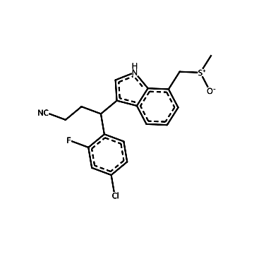 C[S+]([O-])Cc1cccc2c(C(CCC#N)c3ccc(Cl)cc3F)c[nH]c12